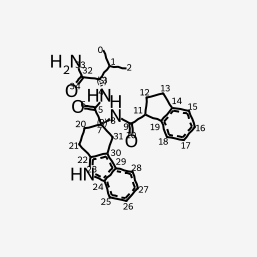 CC(C)[C@H](NC(=O)[C@@]1(NC(=O)C2CCc3ccccc32)CCc2[nH]c3ccccc3c2C1)C(N)=O